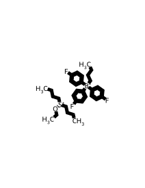 CCCC[B-](c1ccc(F)cc1)(c1ccc(F)cc1)c1ccc(F)cc1.CCCC[S+](CCCC)OCC